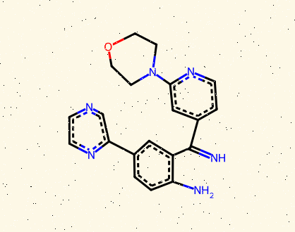 N=C(c1ccnc(N2CCOCC2)c1)c1cc(-c2cnccn2)ccc1N